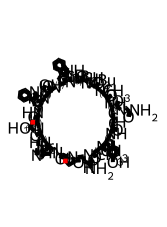 CCCC[C@H]1C(=O)N(C)[C@@H](CCCC)C(=O)N[C@@H](C)C(=O)N[C@H](C(=O)NCC(N)=O)CSCC(=O)N[C@@H](Cc2ccc(O)cc2)C(=O)N(C)[C@@H](C)C(=O)NC(CC(N)=O)C(=O)N2CCC[C@H]2C(=O)N[C@@H](Cc2cnc[nH]2)C(=O)N[C@@H](CC(C)C)C(=O)N2C[C@H](O)C[C@H]2C(=O)N[C@@H](Cc2c[nH]c3ccccc23)C(=O)N[C@@H](CO)C(=O)N[C@@H](Cc2c[nH]c3ccccc23)C(=O)N1C